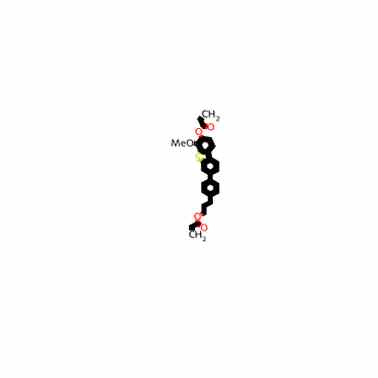 C=CC(=O)OCCCc1ccc(-c2ccc3c(c2)sc2c(OC)c(OC(=O)C=C)ccc23)cc1